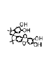 CC1(C)CC2(CC(C)(C)c3cc4c(cc32)Oc2cc(O)c(O)cc2O4)c2cc(O)c(O)cc21